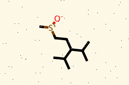 CC(C)C(CC[S+](C)[O-])C(C)C